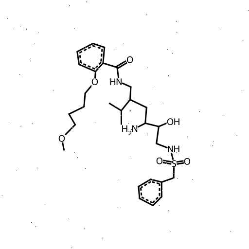 COCCCCOc1ccccc1C(=O)NCC(CC(N)C(O)CNS(=O)(=O)Cc1ccccc1)C(C)C